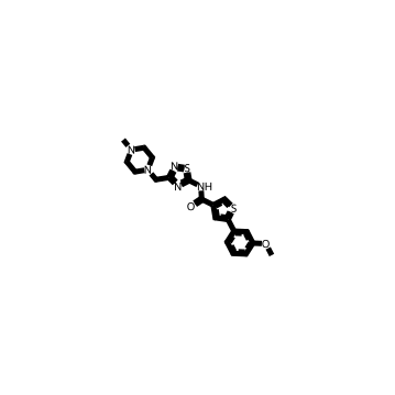 COc1cccc(-c2cc(C(=O)Nc3nc(CN4CCN(C)CC4)ns3)cs2)c1